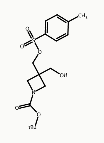 Cc1ccc(S(=O)(=O)OCC2(CO)CN(C(=O)OC(C)(C)C)C2)cc1